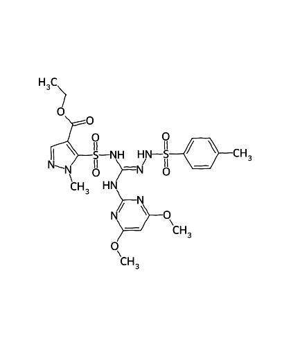 CCOC(=O)c1cnn(C)c1S(=O)(=O)NC(=NNS(=O)(=O)c1ccc(C)cc1)Nc1nc(OC)cc(OC)n1